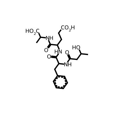 CC(O)CC(=O)NC(Cc1ccccc1)C(=O)NC(CCC(=O)O)C(=O)NC(C)C(=O)O